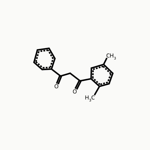 Cc1ccc(C)c(C(=O)CC(=O)c2ccccc2)c1